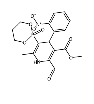 COC(=O)C1=C(C=O)NC(C)=C(P2(=O)OCCCO2)C1c1ccccc1[N+](=O)[O-]